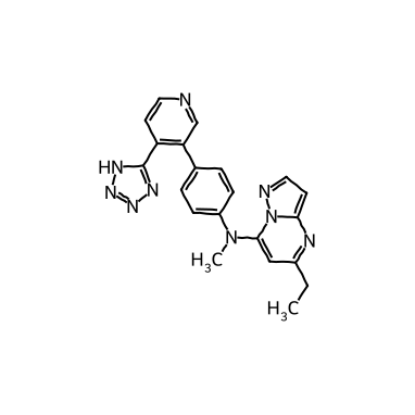 CCc1cc(N(C)c2ccc(-c3cnccc3-c3nnn[nH]3)cc2)n2nccc2n1